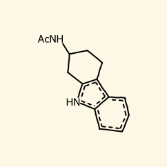 CC(=O)NC1CCc2c([nH]c3ccccc23)C1